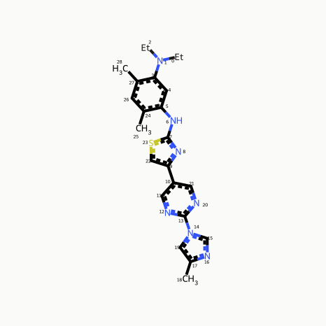 CCN(CC)c1cc(Nc2nc(-c3cnc(-n4cnc(C)c4)nc3)cs2)c(C)cc1C